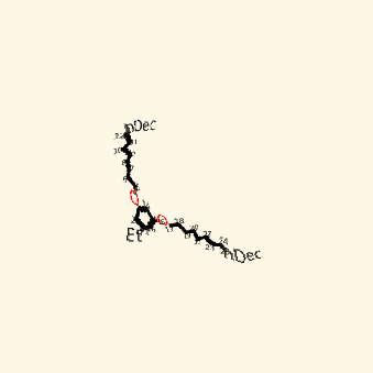 [CH2]Cc1cc(OCCCCCCCCCCCCCCCCCC)cc(OCCCCCCCCCCCCCCCCCC)c1